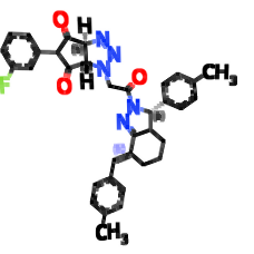 Cc1ccc(/C=C2\CCCC3C2=NN(C(=O)CN2N=N[C@@H]4C(=O)C(c5cccc(F)c5)C(=O)[C@H]42)[C@@H]3c2ccc(C)cc2)cc1